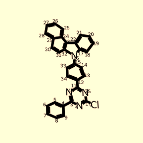 Clc1nc(-c2ccccc2)nc(-c2ccc(-n3c4ccccc4c4c5ccccc5ccc43)cc2)n1